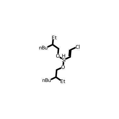 CCCCC(CC)CO[SiH](C=CCl)OCC(CC)CCCC